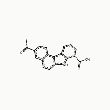 CC(=O)c1ccc2c(ccc3[nH]c4c(C(=O)O)cccc4c32)c1